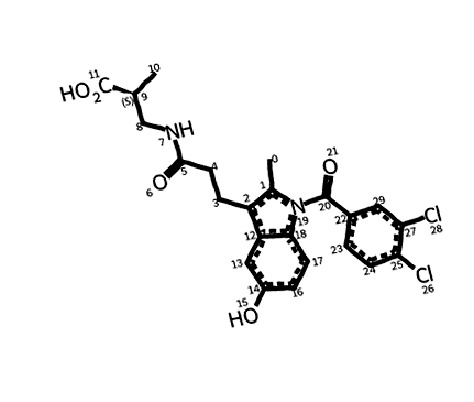 Cc1c(CCC(=O)NC[C@H](C)C(=O)O)c2cc(O)ccc2n1C(=O)c1ccc(Cl)c(Cl)c1